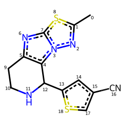 Cc1nn2c3c(nc2s1)CCNC3c1cc(C#N)cs1